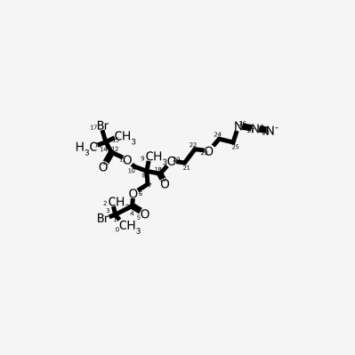 CC(C)(Br)C(=O)OCC(C)(COC(=O)C(C)(C)Br)C(=O)OCCOCCN=[N+]=[N-]